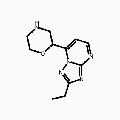 CCc1nc2nccc(C3CNCCO3)n2n1